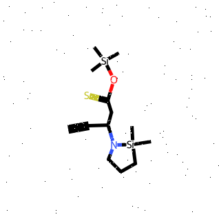 C#CC(CC(=S)O[Si](C)(C)C)N1CCC[Si]1(C)C